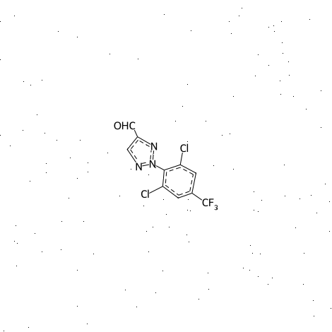 O=Cc1cnn(-c2c(Cl)cc(C(F)(F)F)cc2Cl)n1